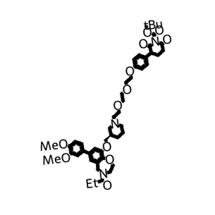 CCC(=O)N1CCOc2c(cc(-c3ccc(OC)c(OC)c3)cc2OC[C@@H]2CCCN(CCOCCOCCOc3ccc(C4CCC(=O)N(C(=O)OC(C)(C)C)C4=O)cc3)C2)C1